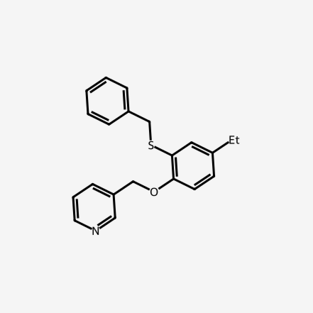 CCc1ccc(OCc2cccnc2)c(SCc2ccccc2)c1